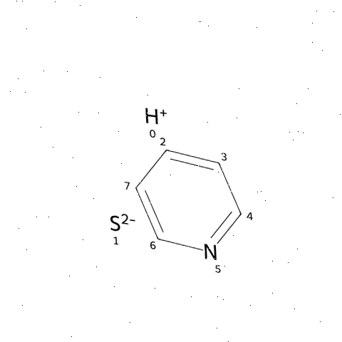 [H+].[S-2].c1ccncc1